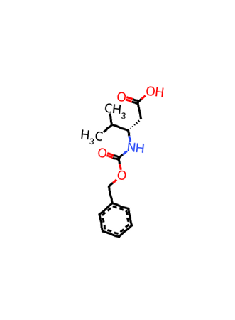 CC(C)[C@H](CC(=O)O)NC(=O)OCc1ccccc1